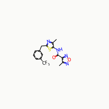 Cc1nonc1C(=O)Nc1sc(Cc2cccc(C(F)(F)F)c2)nc1C